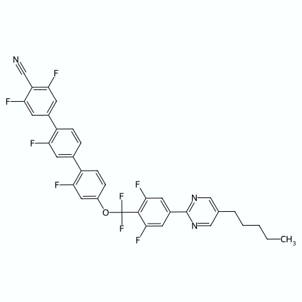 CCCCCc1cnc(-c2cc(F)c(C(F)(F)Oc3ccc(-c4ccc(-c5cc(F)c(C#N)c(F)c5)c(F)c4)c(F)c3)c(F)c2)nc1